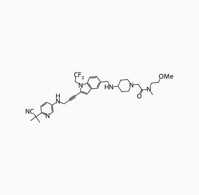 COCCN(C)C(=O)CN1CCC(NCc2ccc3c(c2)cc(C#CCNc2ccc(C(C)(C)C#N)nc2)n3CC(F)(F)F)CC1